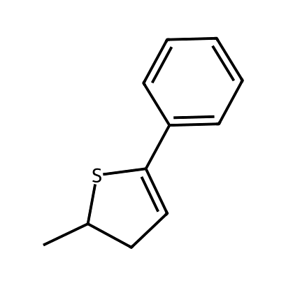 CC1CC=C(c2ccccc2)S1